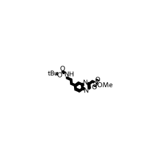 COS(=O)(=O)Cc1cnc2ccc(CCCNC(=O)OC(C)(C)C)cc2n1